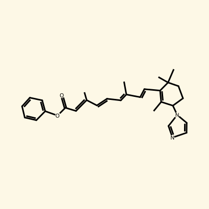 CC1=C(/C=C/C(C)=C/C=C/C(C)=C/C(=O)Oc2ccccc2)C(C)(C)CCC1n1ccnc1